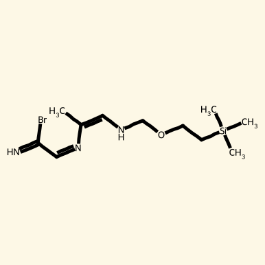 CC(=C/NCOCC[Si](C)(C)C)/N=C\C(=N)Br